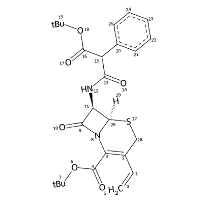 C=CC1=C(C(=O)OC(C)(C)C)N2C(=O)[C@@H](NC(=O)C(C(=O)OC(C)(C)C)c3ccccc3)[C@H]2SC1